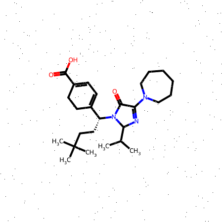 CC(C)C1N=C(N2CCCCCC2)C(=O)N1[C@H](CCC(C)(C)C)C1=CC=C(C(=O)O)CC1